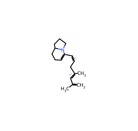 C=C(C)/C=C(\C)C/C=C\C1=CCCC2CCCN12